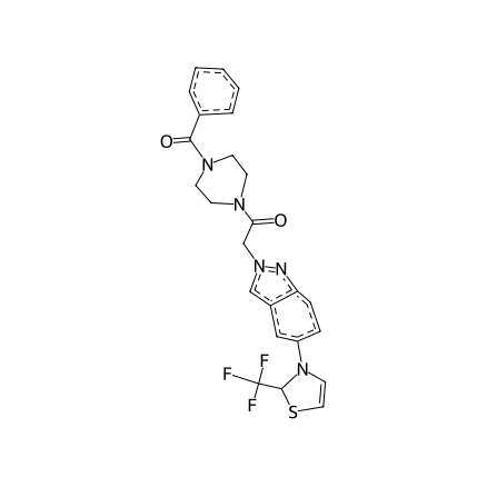 O=C(Cn1cc2cc(N3C=CSC3C(F)(F)F)ccc2n1)N1CCN(C(=O)c2ccccc2)CC1